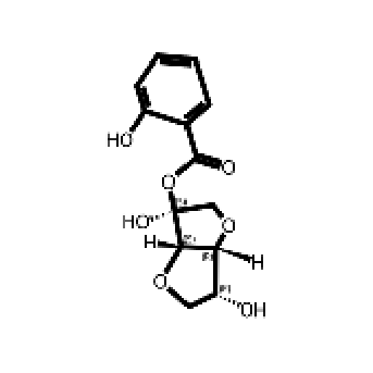 O=C(O[C@@]1(O)CO[C@@H]2[C@H](O)CO[C@@H]21)c1ccccc1O